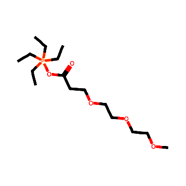 CCP(CC)(CC)(CC)OC(=O)CCOCCOCCOC